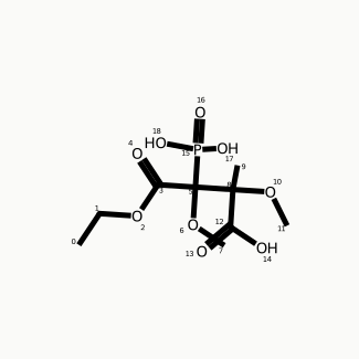 CCOC(=O)C(OC)(C(C)(OC)C(=O)O)P(=O)(O)O